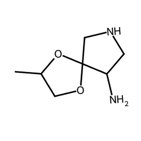 CC1COC2(CNCC2N)O1